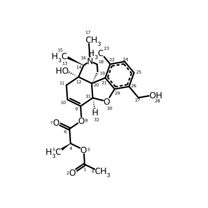 CC(=O)O[C@@H](C)C(=O)OC1=CC[C@@]2(O)[C@@H](C)N(C)CC[C@@]23c2c(C)ccc(CO)c2O[C@@H]13